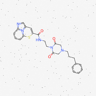 O=C(NCCN1C(=O)CN(CCCc2ccccc2)CC1=O)C1=Cc2cnc3cccc(n23)S1